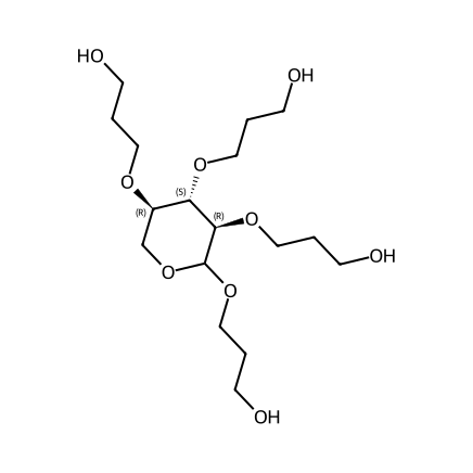 OCCCOC1OC[C@@H](OCCCO)[C@H](OCCCO)[C@H]1OCCCO